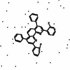 Fc1ccccc1-c1cc(-c2ccccc2)c2ccc3c(-c4ccccc4)cc(-c4ccccc4F)nc3c2n1